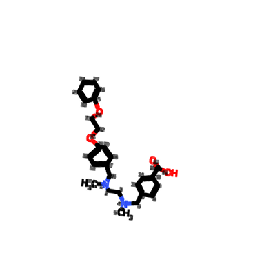 CN(CCN(C)Cc1ccc(C(=O)O)cc1)Cc1ccc(OCCOc2ccccc2)cc1